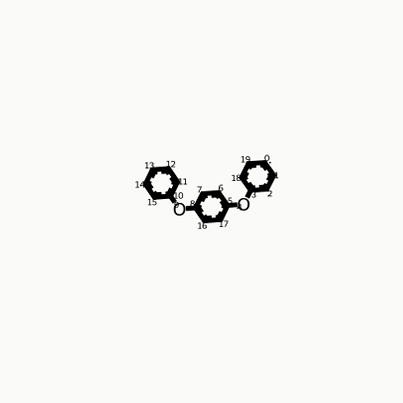 [c]1ccc(Oc2ccc(Oc3ccccc3)cc2)cc1